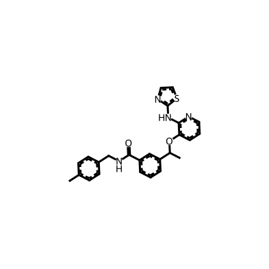 Cc1ccc(CNC(=O)c2cccc(C(C)Oc3cccnc3Nc3nccs3)c2)cc1